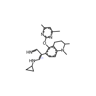 Cc1cc(C)nc(Oc2c(/C(C=N)=C/NC3CC3)ccc3c2CCC(C)N3C)n1